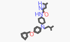 CC(C)CCN(c1ccc(OCc2ccccc2)cc1)C1CCC(NC(=O)C(N)CC(C)C)CC1